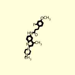 COc1ccc(CCC(=O)Nc2ccc3nc(N4CCN(C)CC4)cc(C)c3c2)c(F)c1